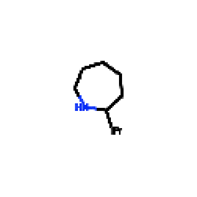 CC(C)C1CCCCCN1